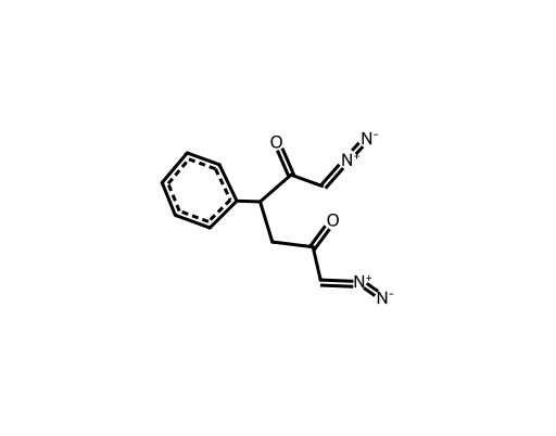 [N-]=[N+]=CC(=O)CC(C(=O)C=[N+]=[N-])c1ccccc1